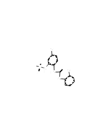 CCCS(=O)(=O)Nc1cc([N+](=O)[O-])ccc1NC(=O)Nc1ccccc1Br